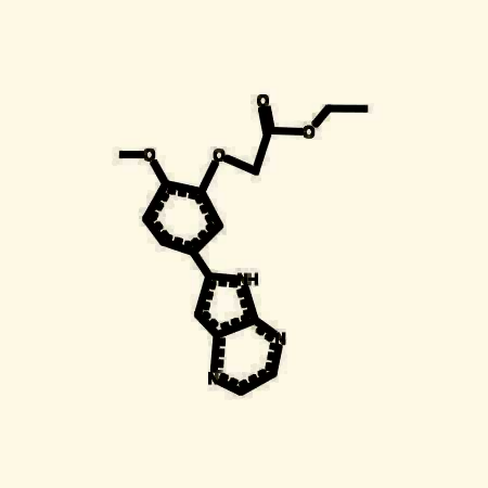 CCOC(=O)COc1cc(-c2cc3nccnc3[nH]2)ccc1OC